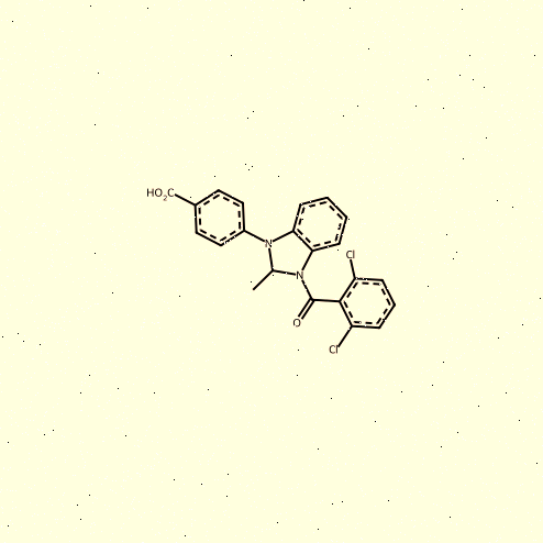 CC1N(C(=O)c2c(Cl)cccc2Cl)c2ccccc2N1c1ccc(C(=O)O)cc1